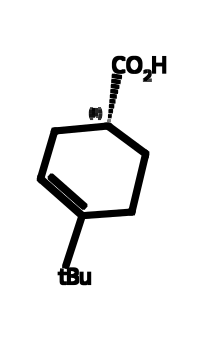 CC(C)(C)C1=CC[C@H](C(=O)O)CC1